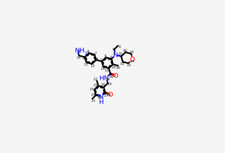 CCN(c1cc(-c2ccc(CN)cc2)cc(C(=O)NCc2c(C)cc(C)[nH]c2=O)c1C)C1CCOCC1